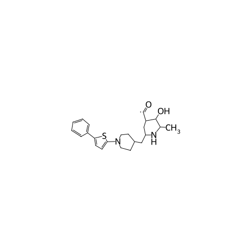 CC1NC(CC2CCN(c3ccc(-c4ccccc4)s3)CC2)CC([C]=O)C1O